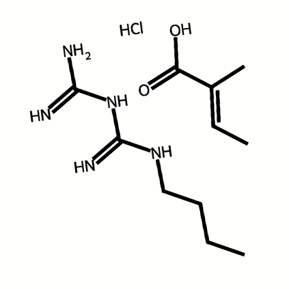 C/C=C(\C)C(=O)O.CCCCNC(=N)NC(=N)N.Cl